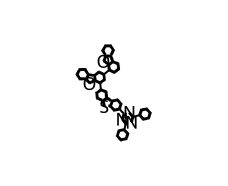 c1ccc(-c2nc(-c3ccccc3)nc(-c3ccc4c(c3)sc3ccc(-c5cc(-c6cccc7c6oc6ccccc67)cc6c5oc5ccccc56)cc34)n2)cc1